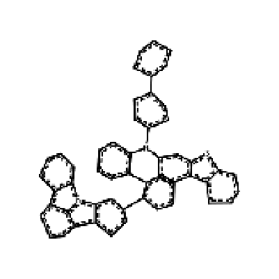 c1ccc(-c2ccc(N(c3ccc4c(c3)sc3ccccc34)c3ccccc3-c3ccccc3-c3ccc4c5cccc6c7ccccc7n(c4c3)c65)cc2)cc1